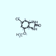 COc1cc(Cl)cc2[nH]c(=O)[nH]c12